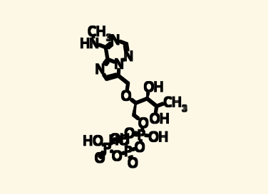 CNc1ncnn2c(CO[C@H](COP(=O)(O)OP(=O)(O)OP(=O)(O)O)[C@@H](O)C(C)O)cnc12